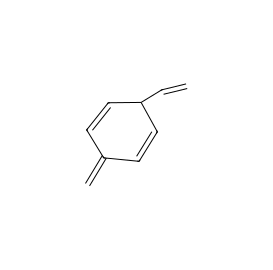 C=CC1C=CC(=C)C=C1